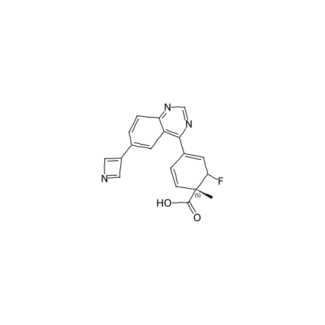 C[C@@]1(C(=O)O)C=CC(c2ncnc3ccc(C4=CN=C4)cc23)=CC1F